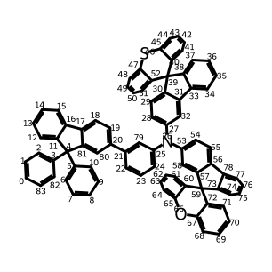 c1ccc(C2(c3ccccc3)c3ccccc3-c3ccc(-c4cccc(N(c5ccc6c(c5)-c5ccccc5C65c6ccccc6Sc6ccccc65)c5ccc6c(c5)C5(c7ccccc7Oc7ccccc75)c5ccccc5-6)c4)cc32)cc1